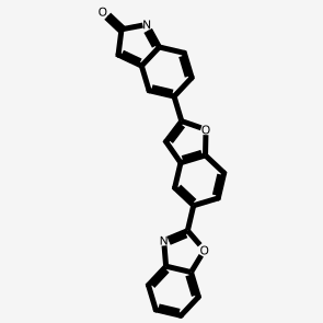 O=C1C=c2cc(-c3cc4cc(-c5nc6ccccc6o5)ccc4o3)ccc2=N1